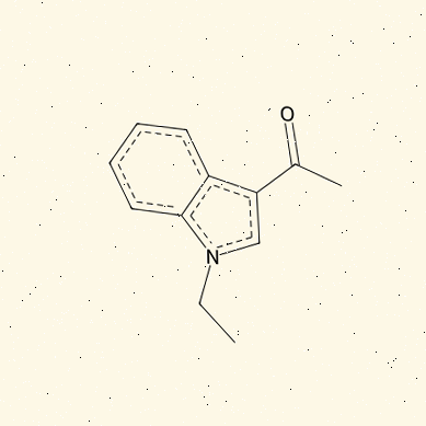 CCn1cc(C(C)=O)c2ccccc21